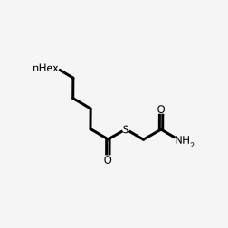 CCCCCCCCCCC(=O)SCC(N)=O